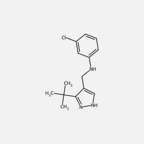 CC(C)(C)c1n[nH]cc1CNc1cccc(Cl)c1